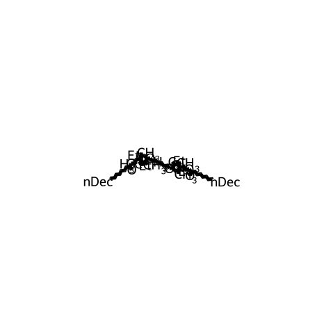 CCCCCCCCCCCCCCCCCC(=O)OCCN1C(C)(CC)CC(OCCCCCCOC2CC(C)(CC)N(CCOC(=O)CCCCCCCCCCCCCCCCC)C(C)(CC)C2C)C(C)C1(C)CC